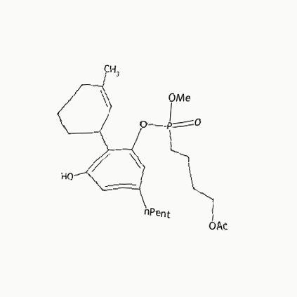 CCCCCc1cc(O)c(C2C=C(C)CCC2)c(OP(=O)(CCCCOC(C)=O)OC)c1